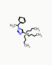 CCC[CH2][Sn]([CH2]CCC)([CH2]CCC)[c]1cn(C(C)c2ccccc2)cn1